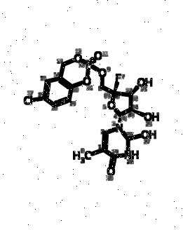 CC1=CN([C@@H]2O[C@](F)(COP3(=O)OCc4cc(Cl)ccc4O3)[C@@H](O)[C@H]2O)C(O)NC1=O